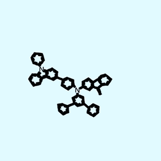 C=C1c2ccccc2-c2ccc(N(c3ccc(-c4ccc5c(c4)c4ccccc4n5-c4ccccc4)cc3)c3cc(-c4ccccc4)cc(-c4ccccc4)c3)cc21